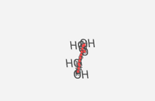 O=C(CCCCCCCCC(O)CCCCCCO)OCC(O)CO